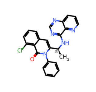 C[C@H](Nc1ncnc2cccnc12)c1cc2cccc(Cl)c2c(=O)n1-c1ccccc1